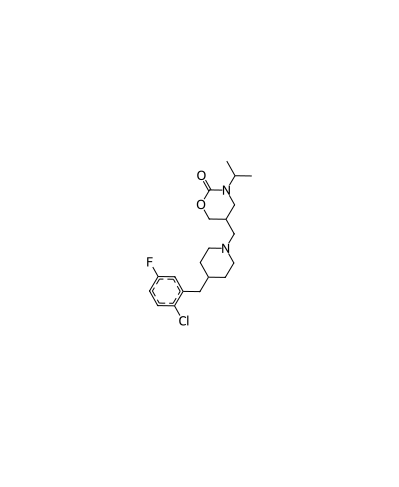 CC(C)N1CC(CN2CCC(Cc3cc(F)ccc3Cl)CC2)COC1=O